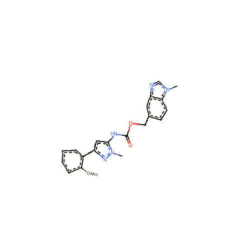 COc1ccccc1-c1cc(NC(=O)OCc2ccc3c(c2)ncn3C)n(C)n1